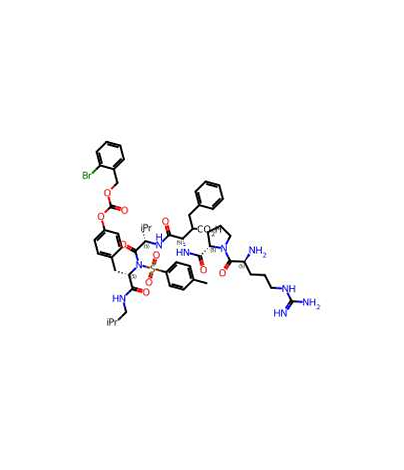 Cc1ccc(S(=O)(=O)N(C(=O)[C@@H](NC(=O)[C@@H](NC(=O)[C@@H]2CCCN2C(=O)[C@@H](N)CCCNC(=N)N)C(Cc2ccccc2)C(=O)O)C(C)C)[C@@H](Cc2ccc(OC(=O)OCc3ccccc3Br)cc2)C(=O)NCC(C)C)cc1